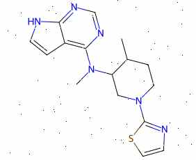 CC1CCN(c2nccs2)CC1N(C)c1ncnc2[nH]ccc12